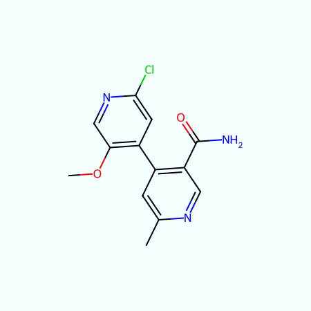 COc1cnc(Cl)cc1-c1cc(C)ncc1C(N)=O